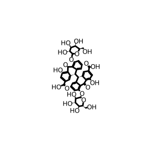 O=C(O)c1cc(O)c2c(c1)[C@@H]([C@@H]1c3cc(C(=O)O)cc(O)c3C(=O)c3c(O[C@H]4O[C@H](CO)[C@@H](O)[C@H](O)[C@H]4O)cccc31)c1cccc(OC3O[C@H](CO)[C@@H](O)[C@H](O)[C@H]3O)c1C2=O